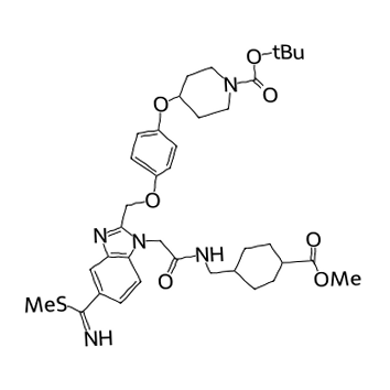 COC(=O)C1CCC(CNC(=O)Cn2c(COc3ccc(OC4CCN(C(=O)OC(C)(C)C)CC4)cc3)nc3cc(C(=N)SC)ccc32)CC1